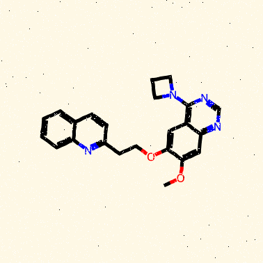 COc1cc2ncnc(N3CCC3)c2cc1OCCc1ccc2ccccc2n1